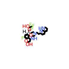 CCCN(CCC1C=CC2=CCCNC2=N1)CC(=O)NC(CC(=O)O)c1cccc(F)c1.O=C(O)C(F)(F)F